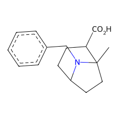 CC12CCC(CCC1C(=O)O)N2Cc1ccccc1